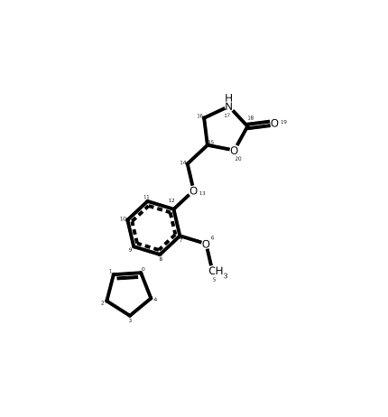 C1=CCCC1.COc1ccccc1OCC1CNC(=O)O1